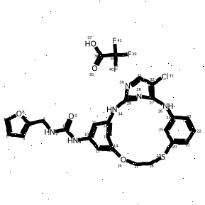 O=C(NCc1ccco1)Nc1cc2cc(c1)OCCSc1cccc(c1)Nc1nc(ncc1Cl)N2.O=C(O)C(F)(F)F